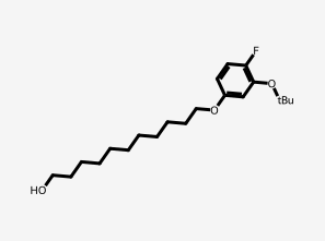 CC(C)(C)Oc1cc(OCCCCCCCCCCCO)ccc1F